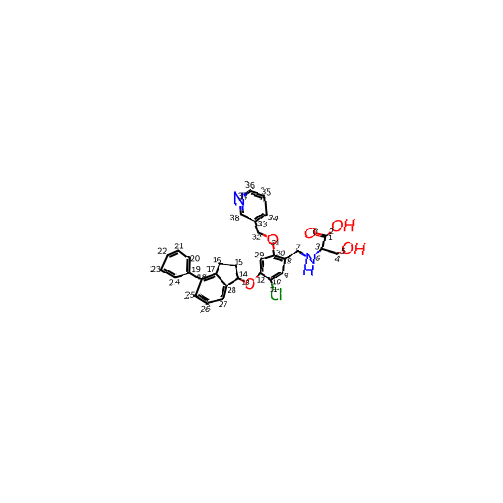 O=C(O)C(CO)NCc1cc(Cl)c(OC2CCc3c(-c4ccccc4)cccc32)cc1OCc1cccnc1